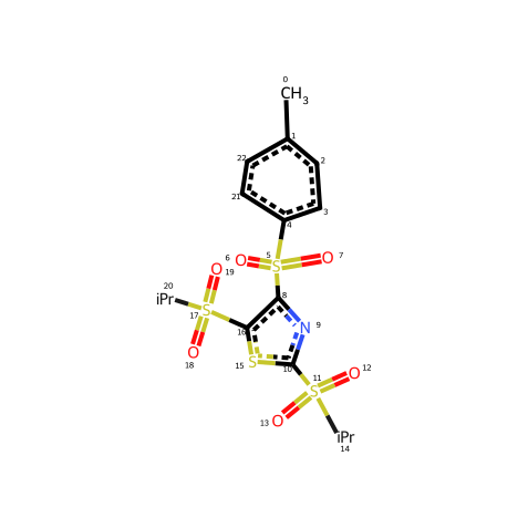 Cc1ccc(S(=O)(=O)c2nc(S(=O)(=O)C(C)C)sc2S(=O)(=O)C(C)C)cc1